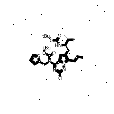 C/C=C/c1c(C[C@@H](NC(=O)OC(C)(C)C)[C@H](C)F)cc2c(N(Cc3cccs3)C(=O)OC(C)(C)C)nc(Cl)nn12